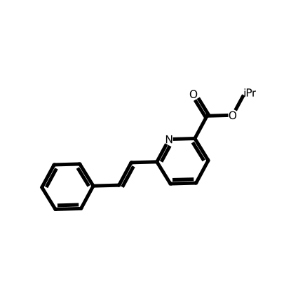 CC(C)OC(=O)c1cccc(/C=C/c2ccccc2)n1